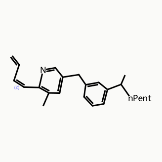 C=C/C=C\c1ncc(Cc2cccc(C(C)CCCCC)c2)cc1C